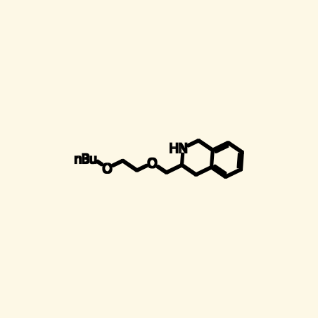 CCCCOCCOCC1Cc2ccccc2CN1